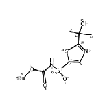 CC(C)(C)OC(=O)N[S@+]([O-])c1cnc(C(C)(C)O)s1